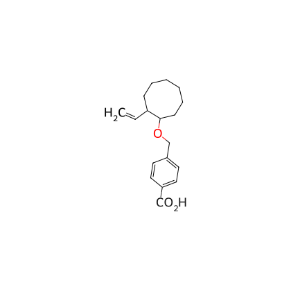 C=CC1CCCCCCC1OCc1ccc(C(=O)O)cc1